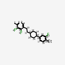 C=C(C)/C(F)=C(F)\C(=C/C)CCC1CCC(c2ccc(CC)c(F)c2)CC1